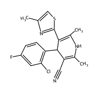 CC1=C(C#N)C(c2ccc(F)cc2Cl)C(c2nc(C)cs2)=C(C)N1